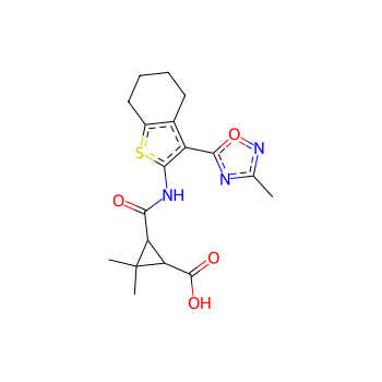 Cc1noc(-c2c(NC(=O)C3C(C(=O)O)C3(C)C)sc3c2CCCC3)n1